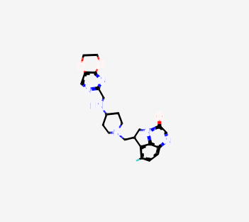 O=c1cnc2ccc(F)c3c2n1CC3CN1CCC(NCc2ncc3c(n2)OCCO3)CC1